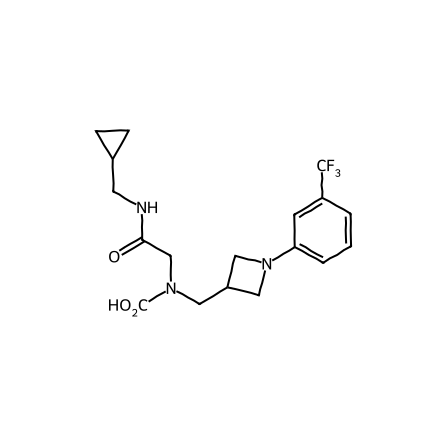 O=C(CN(CC1CN(c2cccc(C(F)(F)F)c2)C1)C(=O)O)NCC1CC1